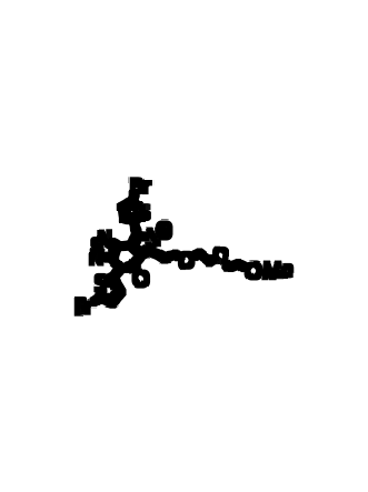 COCCOCCOCCC1=C2C(=O)C(c3ccc(Br)s3)c3nsnc3C2=C(c2ccc(Br)s2)[N+]1=O